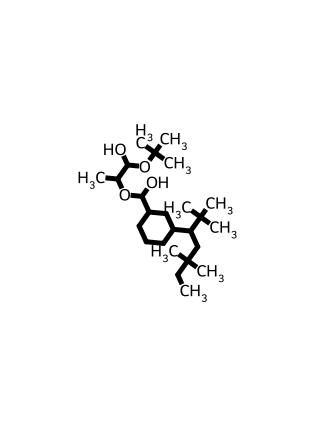 CCC(C)(C)CC(C1CCCC(C(O)OC(C)C(O)OC(C)(C)C)C1)C(C)(C)C